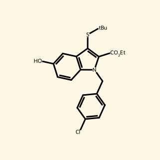 CCOC(=O)c1c(SC(C)(C)C)c2cc(O)ccc2n1Cc1ccc(Cl)cc1